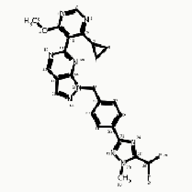 COc1ncnc(C2CC2)c1-c1ncc2cnn(Cc3ccc(-c4nc(C(F)F)n(C)n4)cc3)c2n1